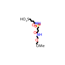 COCCOCCNC(=O)CCCS(=O)(=O)NC(=O)CCCS(=O)(=O)O